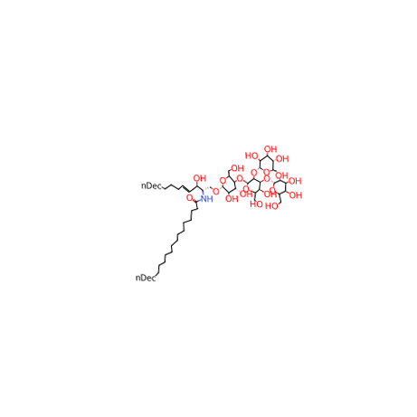 CCCCCCCCCCCCC/C=C/[C@@H](O)[C@H](CO[C@@H]1OC(CO)[C@@H](O[C@@H]2OC(CO)[C@H](O)[C@H](O[C@H]3OC(CO)[C@H](O)[C@H](O)C3O)C2O[C@H]2OC(C)[C@@H](O)C(O)[C@@H]2O)[C@H](O)C1O)NC(=O)CCCCCCCCCCCCCCCCCCCCCCC